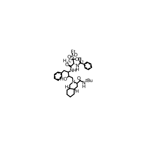 CCS(=O)(=O)C(C)(C)[C@H](NC(=O)c1ccccc1)C(=O)NC(Cc1ccccc1)C(O)CN1C[C@H]2CCCC[C@H]2CC1C(=O)NC(C)(C)C